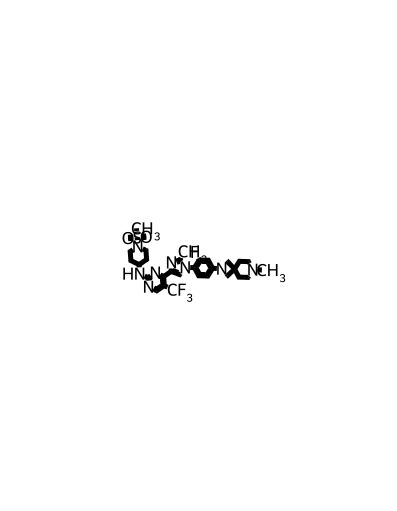 Cc1nc(-c2nc(NC3CCN(S(C)(=O)=O)CC3)ncc2C(F)(F)F)cn1-c1ccc(N2CC3(CCN(C)CC3)C2)cc1F